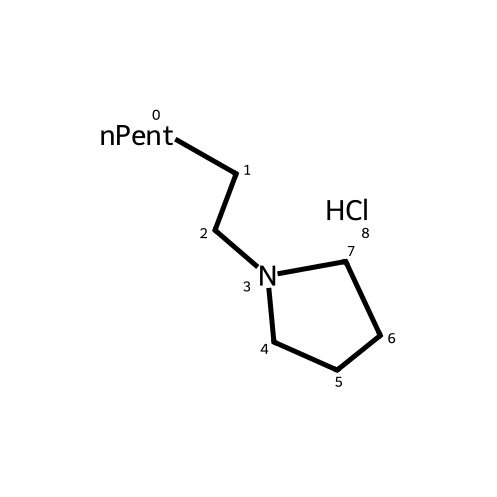 CCCCCCCN1CCCC1.Cl